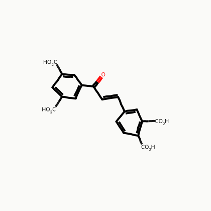 O=C(O)c1cc(C(=O)O)cc(C(=O)C=Cc2ccc(C(=O)O)c(C(=O)O)c2)c1